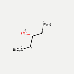 CCC[C@@H](C)C[C@@H](O)CC(=O)OCC